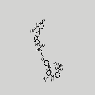 Cc1cnc(Nc2ccc(OCCCNC(=O)NCc3scc4c3CN(C3CCC(=O)NC3=O)C4O)cc2)nc1Nc1cccc(S(=O)(=O)NC(C)(C)C)c1